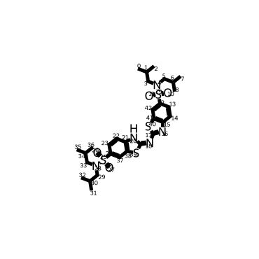 CC(C)CN(CC(C)C)S(=O)(=O)c1ccc2nc(N=c3[nH]c4ccc(S(=O)(=O)N(CC(C)C)CC(C)C)cc4s3)sc2c1